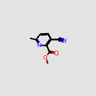 COC(=O)c1nc(C)ccc1C#N